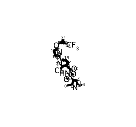 Cc1nn(C)cc1S(=O)(=O)NC(=O)c1ccc(-n2ccc(O[C@H]3C[C@@H]3C(F)(F)F)n2)nc1Cl